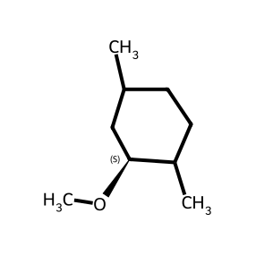 CO[C@H]1CC(C)CCC1C